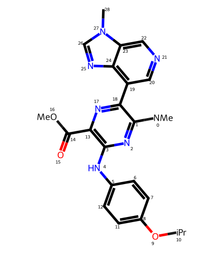 CNc1nc(Nc2ccc(OC(C)C)cc2)c(C(=O)OC)nc1-c1cncc2c1ncn2C